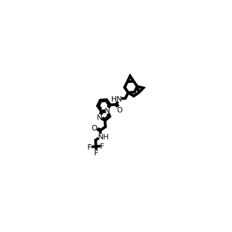 O=C(Cc1cn2c(C(=O)NCC34CC5CC5C5(CC5C3)C4)cccc2n1)NCC(F)(F)F